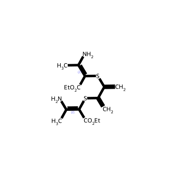 C=C(S/C(C(=O)OCC)=C(/C)N)C(=C)S/C(C(=O)OCC)=C(/C)N